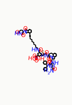 NC(=O)CC[C@H](NC(=O)[C@@H]1Cc2cccc3c2N1C(=O)[C@@H](NC(=O)c1cc2cc(C(=O)P(=O)(O)O)cc(C(=O)NCCCCCCCCC#Cc4cccc5c4CN(C4CCC(=O)NC4=O)C5=O)c2s1)CC3)C(=O)NC(c1ccccc1)c1ccccc1